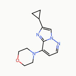 c1cc(N2CCOCC2)c2nc(C3CC3)cn2n1